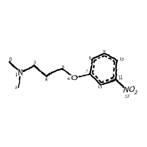 CN(C)CCCOc1cccc([N+](=O)[O-])c1